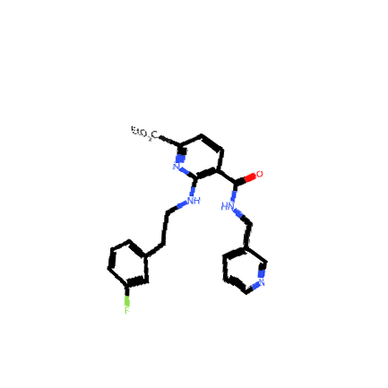 CCOC(=O)c1ccc(C(=O)NCc2cccnc2)c(NCCc2cccc(F)c2)n1